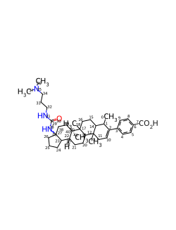 CC1C(c2ccc(C(=O)O)cc2)=CCC2(C)C1CCC1(C)C2CC[C@@H]2C3CCC[C@]3(NC(=O)NCCCN(C)C)CC[C@]21C